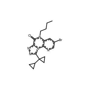 CCCCn1c(=O)c2nnc(C3(C4CC4)CC3)n2c2ncc(Br)cc21